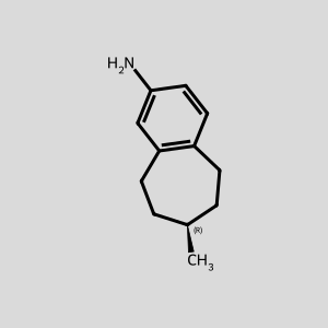 C[C@@H]1CCc2ccc(N)cc2CC1